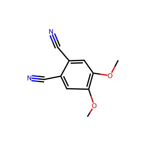 COc1cc(C#N)c(C#N)cc1OC